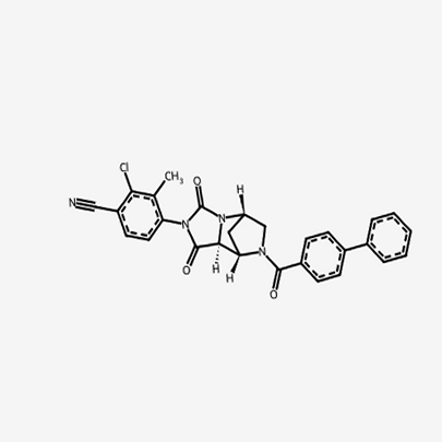 Cc1c(N2C(=O)[C@@H]3[C@@H]4C[C@@H](CN4C(=O)c4ccc(-c5ccccc5)cc4)N3C2=O)ccc(C#N)c1Cl